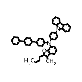 C=c1/c(=C\C=C/C)oc2c(N(c3ccc(-c4ccc(-c5ccccc5)cc4)cc3)c3ccc(-n4c5ccccc5c5ccccc54)cc3)cccc12